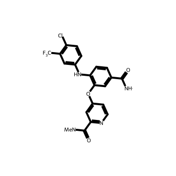 CNC(=O)c1cc(Oc2cc(C([NH])=O)ccc2Nc2ccc(Cl)c(C(F)(F)F)c2)ccn1